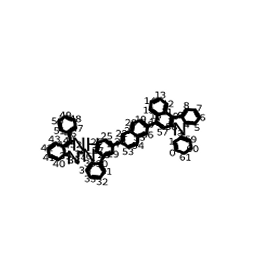 C1=CC(n2c3ccccc3c3c4ccccc4c(-c4ccc5cc(-c6ccc7c(c6)c6ccccc6n7C6N=c7ccccc7=C(c7ccccc7)N6)ccc5c4)cc32)=CCC1